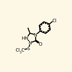 CC1NN(SC(Cl)(Cl)Cl)C(=O)N1c1ccc(Cl)cc1